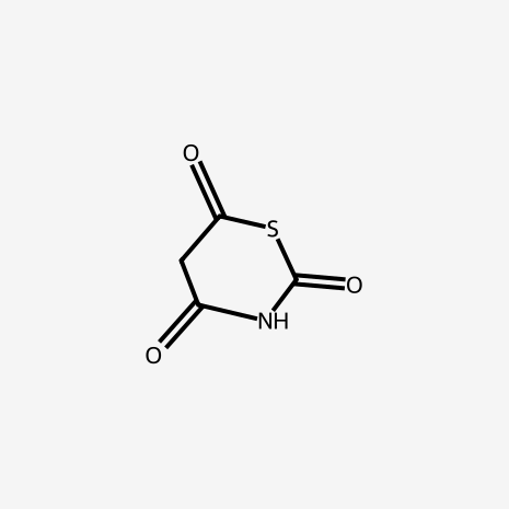 O=C1CC(=O)SC(=O)N1